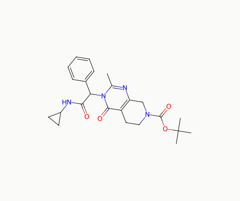 Cc1nc2c(c(=O)n1C(C(=O)NC1CC1)c1ccccc1)CCN(C(=O)OC(C)(C)C)C2